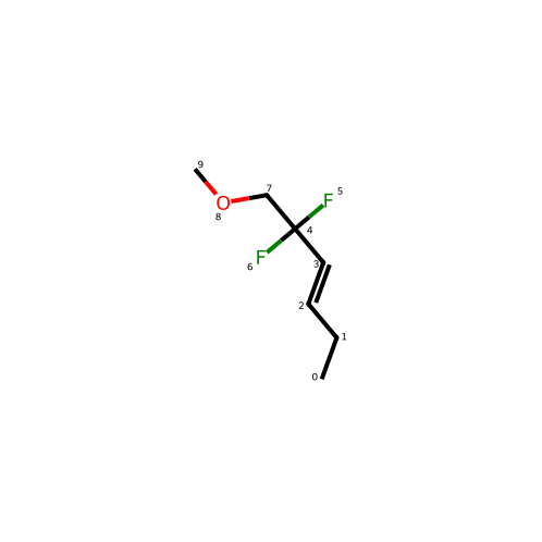 CC/C=C/C(F)(F)COC